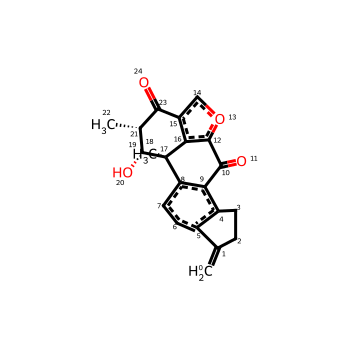 C=C1CCc2c1ccc1c2C(=O)c2occ3c2[C@]1(C)[C@H](O)[C@H](C)C3=O